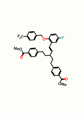 COC(=O)c1ccc(CCC(C=Cc2cc(F)ccc2OCc2ccc(C(F)(F)F)cc2)CCc2ccc(C(=O)OC)cc2)cc1